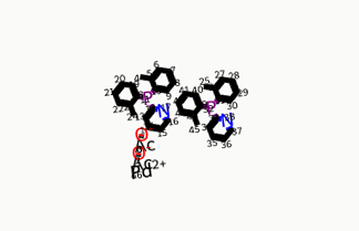 CC(=O)[O-].CC(=O)[O-].Cc1ccccc1P(c1ccccn1)c1ccccc1C.Cc1ccccc1P(c1ccccn1)c1ccccc1C.[Pd+2]